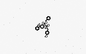 COc1ccc(CN2C[C@]3(CC[C@@](c4ccccc4)(N(C)C)CC3)N(C(=O)OCc3ccccc3)C2=O)cc1